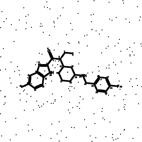 CCN(C(=O)c1nc2cc(C)ccc2[nH]1)C1CCCC(NCc2ccc(F)cc2)C1